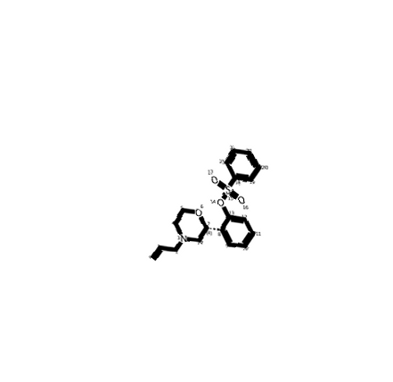 C=CCN1CCO[C@H](c2ccccc2OS(=O)(=O)c2ccccc2)C1